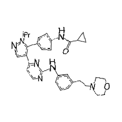 CC(C)n1ncc(-c2ccnc(Nc3cccc(CCN4CCOCC4)c3)n2)c1-c1ccc(NC(=O)C2CC2)cc1